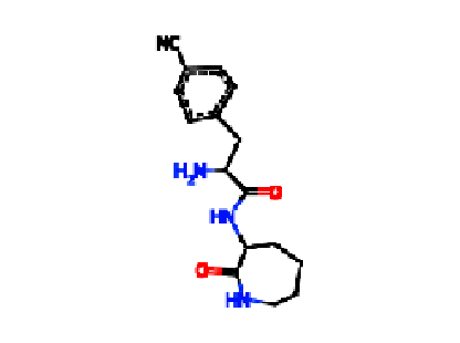 N#Cc1ccc(CC(N)C(=O)NC2CCCCNC2=O)cc1